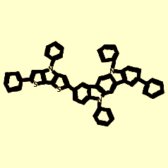 c1ccc(-c2ccc3c(c2)c2cc4c(cc2n3-c2ccccc2)c2cc(-c3cc5c(s3)c3sc(-c6ccccc6)cc3n5-c3ccccc3)ccc2n4-c2ccccc2)cc1